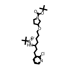 CC(C)(C)OC(=O)N1CCC(OCCCCC(CCc2cccnc2Cl)N[S@+]([O-])C(C)(C)C)C1